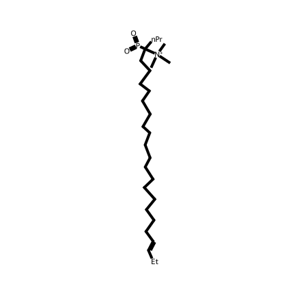 CCC=CCCCCCCCCCCCCCCCCCC(CCC)(P(=O)=O)[N+](C)(C)C